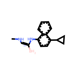 B/C(=C/NC)Nc1ccc(C2CC2)c2ccccc12